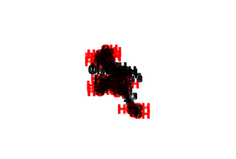 CC1O[C@@H](O[C@@H]2C(O[C@@H]3OC(C)[C@H](O)[C@H](O)C3O)[C@@H](NC(=O)CCCCCCCCCCCOC3(O)CO[C@@H](CO)[C@H]3CO)C(CO)O[C@H]2OC(=O)[C@]23CCC(C)(C)CC2C2=CCC4C5(C)CC[C@H](O[C@@H]6OC[C@@H](O)[C@H](O[C@@H]7OC[C@@H](O)[C@H](O)C7O)C6O[C@@H]6OC(CO)[C@H](O)[C@H](O)C6O)[C@](C)(C=O)[C@@H]5CC[C@]4(C)[C@]2(C)CC3O)[C@@H](O)C(O)[C@H]1O[C@@H]1OC[C@@H](O)C(O[C@@H]2OC[C@@](O)(CO)C2O)[C@H]1O